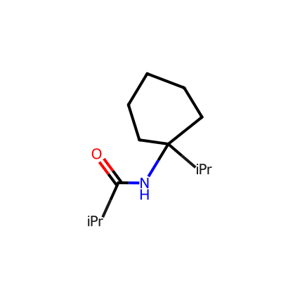 CC(C)C(=O)NC1(C(C)C)CCCCC1